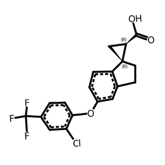 O=C(O)[C@@H]1C[C@]12CCc1cc(Oc3ccc(C(F)(F)F)cc3Cl)ccc12